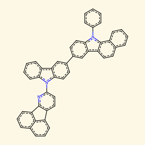 c1ccc(-n2c3ccc(-c4ccc5c(c4)c4ccccc4n5-c4ccc5c(n4)-c4cccc6cccc-5c46)cc3c3ccc4ccccc4c32)cc1